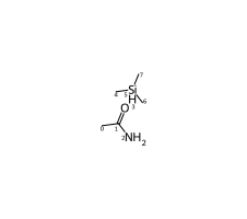 CC(N)=O.C[SiH](C)C